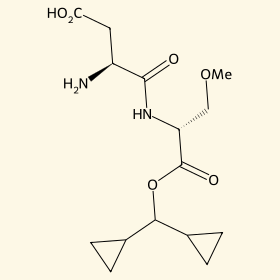 COC[C@@H](NC(=O)[C@@H](N)CC(=O)O)C(=O)OC(C1CC1)C1CC1